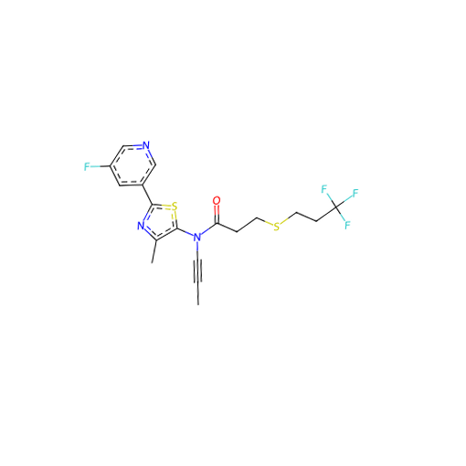 CC#CN(C(=O)CCSCCC(F)(F)F)c1sc(-c2cncc(F)c2)nc1C